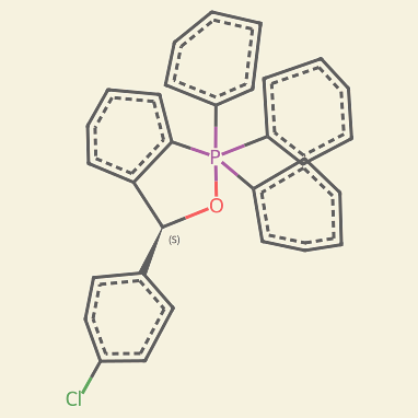 Clc1ccc([C@@H]2OP(c3ccccc3)(c3ccccc3)(c3ccccc3)c3ccccc32)cc1